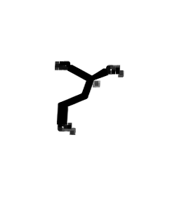 C=CC[C@H](C)O